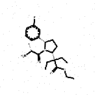 CCOC(=O)C(CC)(CC)[C@H]1CC[C@@H](c2cccc(F)c2)N1C(=O)[C@@H](C)N